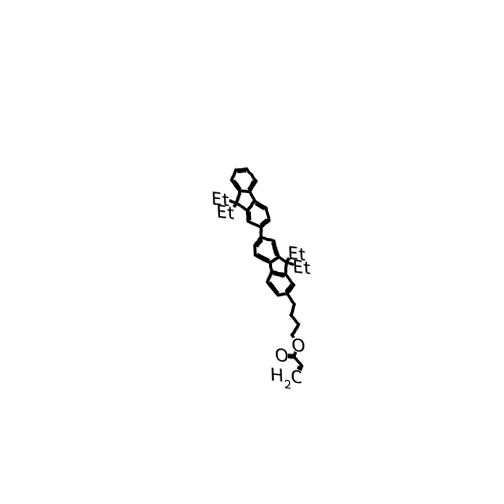 C=CC(=O)OCCCCc1ccc2c(c1)C(CC)(CC)c1cc(-c3ccc4c(c3)C(CC)(CC)c3ccccc3-4)ccc1-2